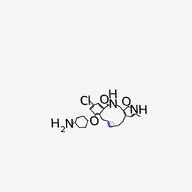 Cc1cc2c(c(=O)[nH]1)CNC(=O)c1cc(Cl)cc(O[C@H]3CC[C@H](N)CC3)c1C/C=C/CC2